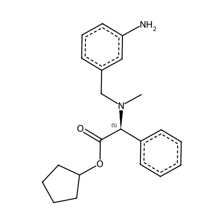 CN(Cc1cccc(N)c1)[C@H](C(=O)OC1CCCC1)c1ccccc1